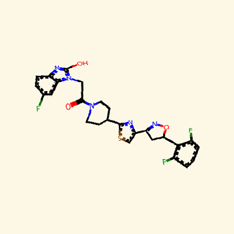 O=C(Cn1c(O)nc2ccc(F)cc21)N1CCC(c2nc(C3=NOC(c4c(F)cccc4F)C3)cs2)CC1